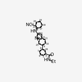 CCNC(=O)c1cccc(-c2ccc3nc(Nc4ccccc4C#N)nn3c2)c1